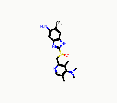 Cc1cnc(C[S+]([O-])c2nc3cc(N)c(C(F)(F)F)cc3[nH]2)c(C)c1N(C)C